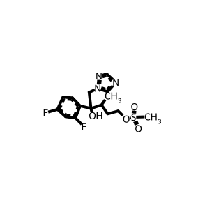 CC(CCOS(C)(=O)=O)C(O)(Cn1cncn1)c1ccc(F)cc1F